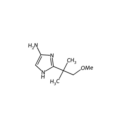 COCC(C)(C)c1nc(N)c[nH]1